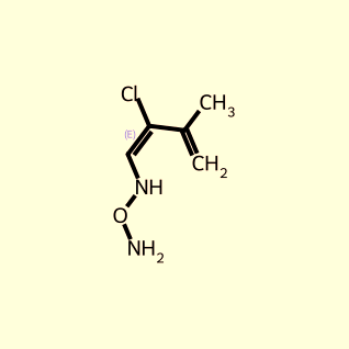 C=C(C)/C(Cl)=C\NON